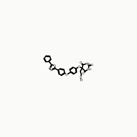 CCOCCC1(Oc2ccc(Oc3ccc(-c4nnc(-c5ccccc5)o4)cc3)cc2)C(=O)NC(=O)NC1=O